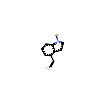 C=Cc1cccc2c1ccn2C(C)=O